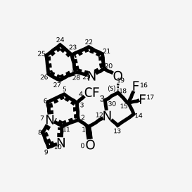 O=C(c1c(C(F)(F)F)ccn2ccnc12)N1CCC(F)(F)[C@@H](Oc2ccc3ccccc3n2)C1